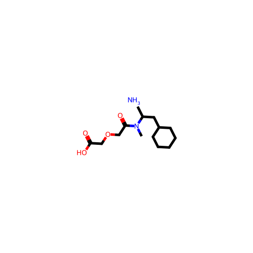 CC(CC1CCCCC1)N(C)C(=O)COCC(=O)O.N